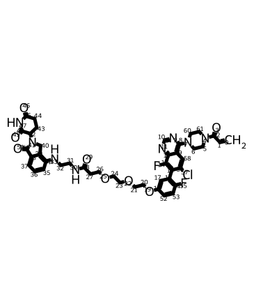 C=CC(=O)N1CCN(c2ncnc3c(F)c(-c4cc(OCCOCCOCCC(=O)NCCNc5cccc6c5CN(C5CCC(=O)NC5=O)C6=O)ccc4F)c(Cl)cc23)CC1